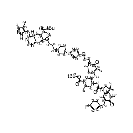 Cc1n[nH]c(Nc2ncnc3cc(OCCCN4CCN(c5ncc(OCCN6CCN(C[C@H]7CN(C(=O)OC(C)(C)C)[C@H](C)CN7CC(=O)N7CC(C)(C)c8c7cc(Cc7ccc(F)cc7)c(=O)n8C)[C@H](C)C6=O)cn5)CC4)c(S(=O)(=O)C(C)(C)C)cc23)c1C